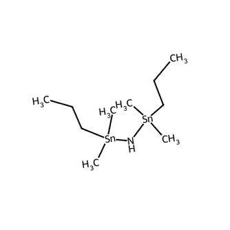 CC[CH2][Sn]([CH3])([CH3])[NH][Sn]([CH3])([CH3])[CH2]CC